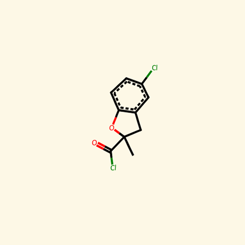 CC1(C(=O)Cl)Cc2cc(Cl)ccc2O1